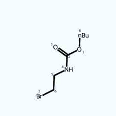 CCCCOC(=O)NCCBr